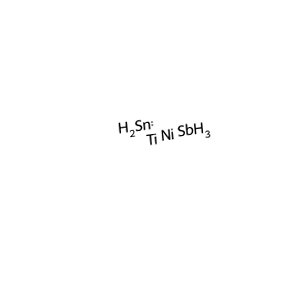 [Ni].[SbH3].[SnH2].[Ti]